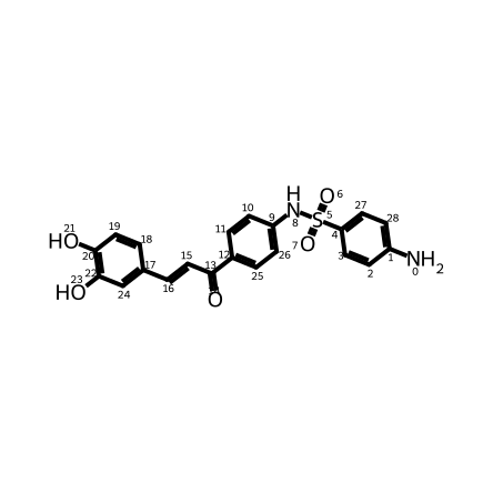 Nc1ccc(S(=O)(=O)Nc2ccc(C(=O)/C=C/c3ccc(O)c(O)c3)cc2)cc1